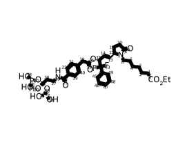 CCOC(=O)CCCCCCN1C(=O)CC[C@@H]1/C=C/[C@@H](OC(=O)Cc1ccc(C(=O)NCCC(O)(OP(O)O)OP(O)O)cc1)C(F)(F)c1ccccc1